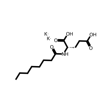 CCCCCCCC(=O)N[C@@H](CCC(=O)O)C(=O)O.[K].[K]